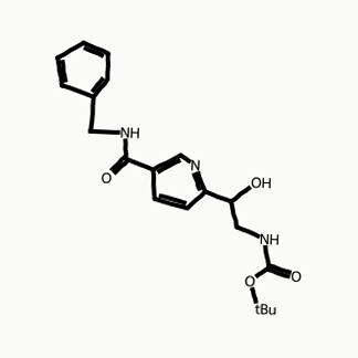 CC(C)(C)OC(=O)NCC(O)c1ccc(C(=O)NCc2ccccc2)cn1